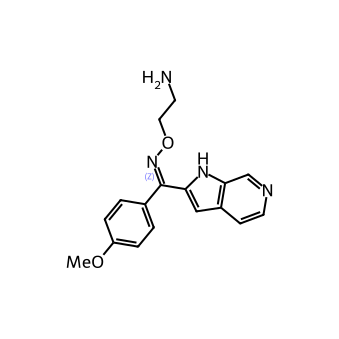 COc1ccc(/C(=N/OCCN)c2cc3ccncc3[nH]2)cc1